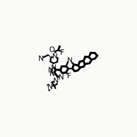 C=C(F)C(=O)N1CC[C@H](n2nnc3c(N4CC(C)(N(C)C)C4)nc4c(F)c(-c5ccc6cc7cc8ccccc8cc7cc6c5C#N)c(C)cc4c32)C[C@H]1CC#N